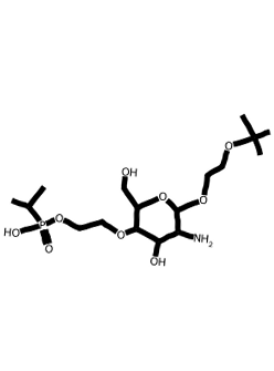 CC(C)P(=O)(O)OCCOC1C(CO)OC(OCCOC(C)(C)C)C(N)C1O